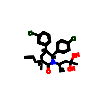 C=CC[C@@]1(C)C[C@H](c2cccc(Cl)c2)[C@@H](c2ccc(Cl)cc2)N(C(CC)CC(C)(O)O)C1=O